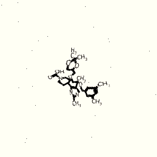 Cc1cc(C)cc(COC(C)(COCC2COC(C)(C)O2)c2cnc(C)nc2C2CCN(C(=O)O)CC2)c1